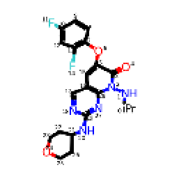 CC(C)Nn1c(=O)c(Oc2ccc(F)cc2F)cc2cnc(NC3CCOCC3)nc21